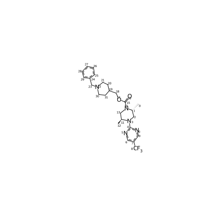 C[C@@H]1CN(c2ncc(C(F)(F)F)cn2)[C@@H](C)CN1C(=O)OCC1CCN(Cc2ccccc2)CC1